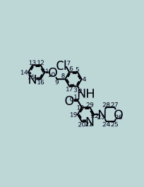 O=C(Nc1ccc(Cl)c(COc2cccnc2)c1)c1ccnc(N2CCOCC2)c1